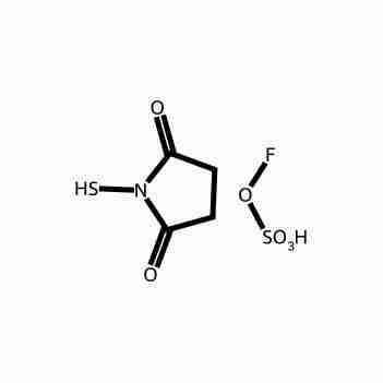 O=C1CCC(=O)N1S.O=S(=O)(O)OF